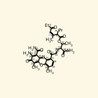 CCC(=O)/C=C(/C)C(C(=O)OC(C)C(/N=C/C(=O)c1ccc(C)c2oc3c(C)c(=O)c(N)c(C(N)=O)c-3nc12)C(N)=O)C(C)C